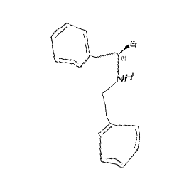 CC[C@@H](NCc1ccccc1)c1ccccc1